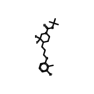 Cc1c(Br)cccc1OCCCC1CCN(C(=O)OC(C)(C)C)CC1(F)F